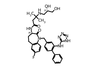 CC(C)(CC(=O)N[C@@H]1CCc2cc(F)ccc2N(Cc2ccc(-c3ccccc3)c(Nc3nnn[nH]3)c2)C1=O)NC[C@H](O)CO